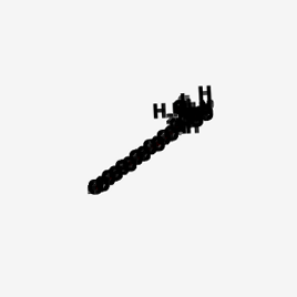 C=CNC(=O)CCNC(=O)C(CCCCNC(=O)CCOCCOCCOCCOCCOCCOCCOCCOCCOCCOCCOCCOC)NC(=O)C(CN)NC(=O)CI